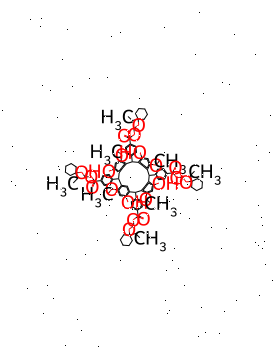 CCC1(OCOC(=O)c2ccc(C3c4cc(c(OC)cc4O)C(c4ccc(C(=O)OCOC5(CC)CCCCC5)cc4)c4cc(c(OC)cc4O)C(c4ccc(C(=O)OCOC5(CC)CCCCC5)cc4)c4cc(c(OC)cc4O)C(c4ccc(C(=O)OCOC5(CC)CCCCC5)cc4)c4cc3c(OC)cc4O)cc2)CCCCC1